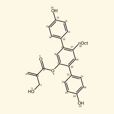 C=C(CO)C(=O)Oc1cc(-c2ccc(O)cc2)c(CCCCCCCC)cc1-c1ccc(O)cc1